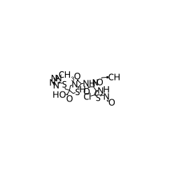 C#CCON=C(C(=O)NC1C(=O)N2CC(CSc3nnnn3C)(C(=O)O)CS[C@H]12)c1nc(NC=O)sc1Cl